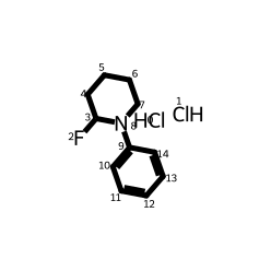 Cl.Cl.FC1CCCCN1c1ccccc1